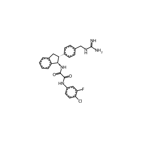 N=C(N)NCc1ccc([C@H]2Cc3ccccc3[C@@H]2NC(=O)C(=O)Nc2ccc(Cl)c(F)c2)cc1